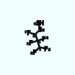 FC(F)C(F)(F)C(F)SS